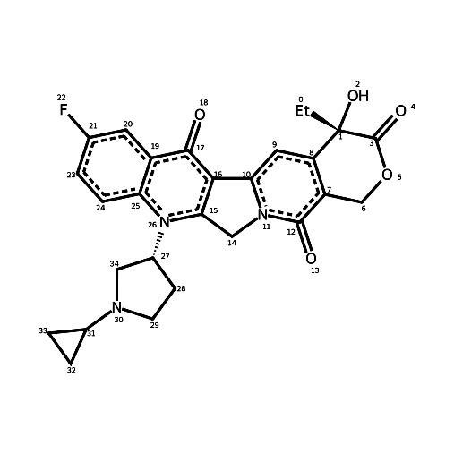 CC[C@@]1(O)C(=O)OCc2c1cc1n(c2=O)Cc2c-1c(=O)c1cc(F)ccc1n2[C@@H]1CCN(C2CC2)C1